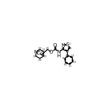 O=C(Nc1nscc1-c1ccccc1)OCC1CN2CCC1CC2